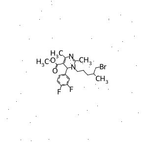 COC(=O)C1=C(C)N=C(C)N(CCCC(C)CBr)C1c1ccc(F)c(F)c1